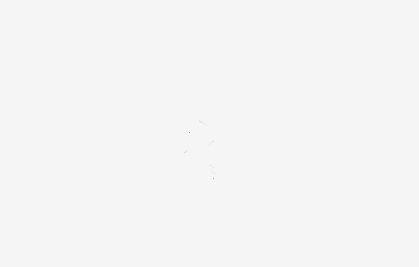 Cc1cc2n(c(=O)c1C#N)CCC21OCCO1